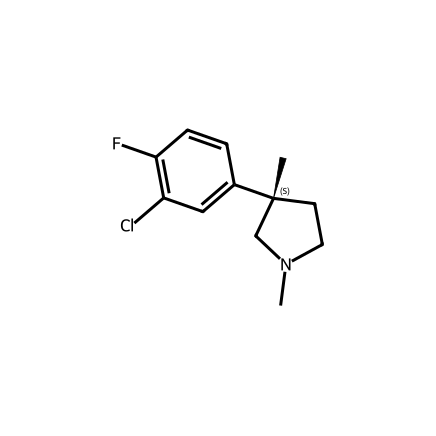 CN1CC[C@@](C)(c2ccc(F)c(Cl)c2)C1